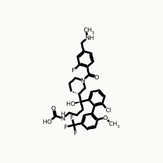 CNCc1ccc(C(=O)N2CCC[C@@H]([C@@](O)(CCCNC(=O)O)c3cccc(Cl)c3-c3cc(C(F)(F)F)ccc3OC)C2)c(F)c1